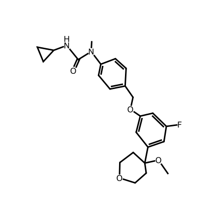 COC1(c2cc(F)cc(OCc3ccc(N(C)C(=O)NC4CC4)cc3)c2)CCOCC1